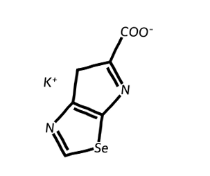 O=C([O-])C1=Nc2[se]cnc2C1.[K+]